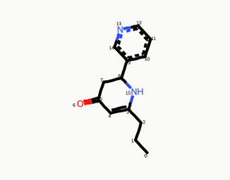 CCCC1=CC(=O)CC(c2cccnc2)N1